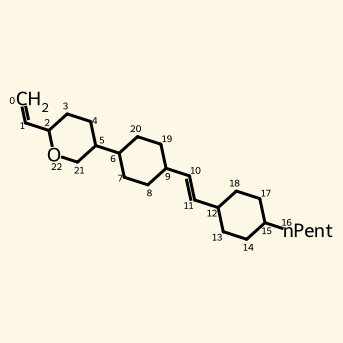 C=CC1CCC(C2CCC(/C=C/C3CCC(CCCCC)CC3)CC2)CO1